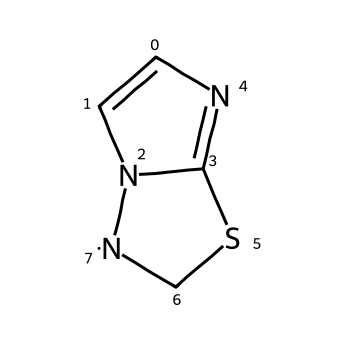 c1cn2c(n1)SC[N]2